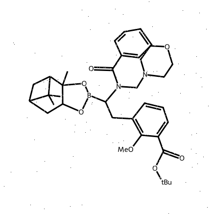 COc1c(CC(B2OC3CC4CC(C4(C)C)C3(C)O2)N(CN2CCOCC2)C(=O)c2ccccc2)cccc1C(=O)OC(C)(C)C